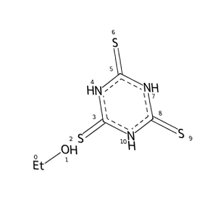 CCO.S=c1[nH]c(=S)[nH]c(=S)[nH]1